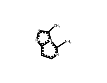 Cc1nnc2ccnc(N)n12